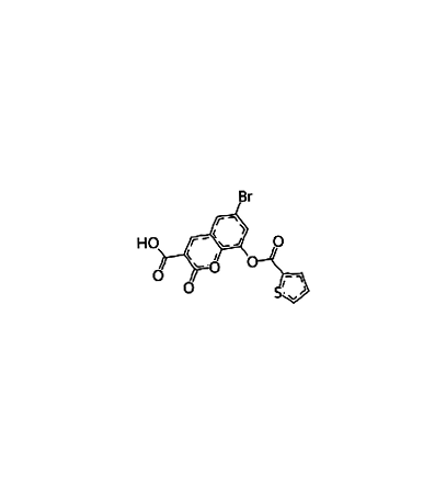 O=C(Oc1cc(Br)cc2cc(C(=O)O)c(=O)oc12)c1cccs1